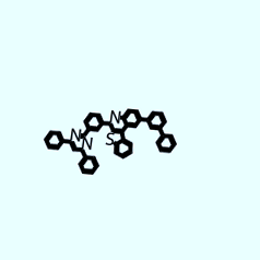 c1ccc(-c2cccc(-c3ccc4nc(-c5cccc(-c6nc(-c7ccccc7)cc(-c7ccccc7)n6)c5)c5sc6ccccc6c5c4c3)c2)cc1